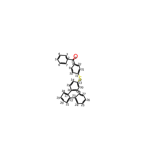 O=C(c1ccccc1)c1ccc(Sc2ccc(-c3ccccc3-c3ccccc3)cc2)cc1